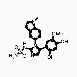 COc1cc(-c2cnc(NS(N)(=O)=O)n2-c2ccc3c(ccn3C)c2)c(O)cc1O